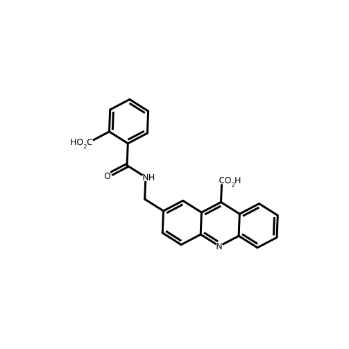 O=C(O)c1ccccc1C(=O)NCc1ccc2nc3ccccc3c(C(=O)O)c2c1